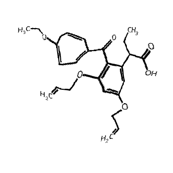 C=CCOc1cc(OCC=C)c(C(=O)c2ccc(OCC)cc2)c(C(CC)C(=O)O)c1